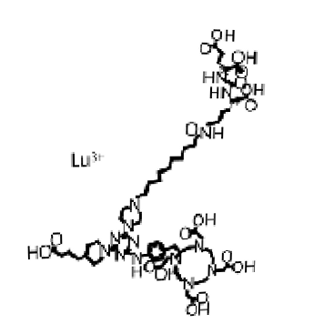 O=C(O)CCCC1CCN(c2nc(Nc3ccc(CC4CN(CC(=O)O)CCN(CC(=O)O)CCN(CC(=O)O)CCN4CC(=O)O)cc3)nc(N3CCN(CCCCCCCCCCC(=O)NCCCC[C@H](NC(=O)N[C@@H](CCC(=O)O)C(=O)O)C(=O)O)CC3)n2)CC1.[Lu+3]